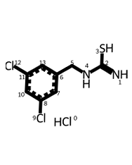 Cl.N=C(S)NCc1cc(Cl)cc(Cl)c1